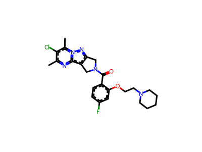 Cc1nc2c3c(nn2c(C)c1Cl)CN(C(=O)c1ccc(F)cc1OCCN1CCCCC1)C3